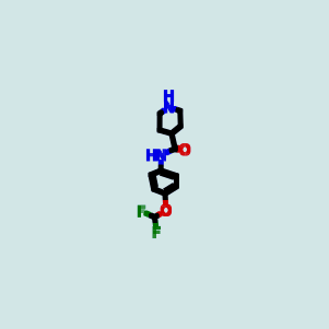 O=C(Nc1ccc(OC(F)F)cc1)C1CCNCC1